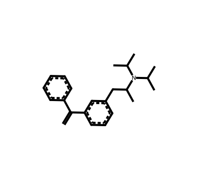 C=C(c1ccccc1)c1cccc(CC(C)N(C(C)C)C(C)C)c1